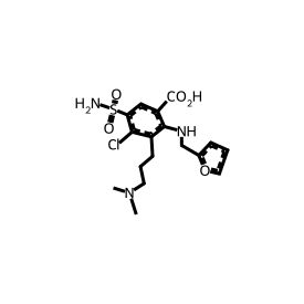 CN(C)CCCc1c(Cl)c(S(N)(=O)=O)cc(C(=O)O)c1NCc1ccco1